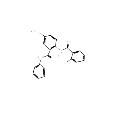 O=C(Nc1ccc([N+](=O)[O-])cc1C(=O)Nc1ccccc1)c1ccccc1F